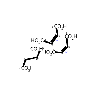 O=C(O)/C=C\C(=O)O.O=C(O)/C=C\C(=O)O.O=C(O)CCC(=O)O